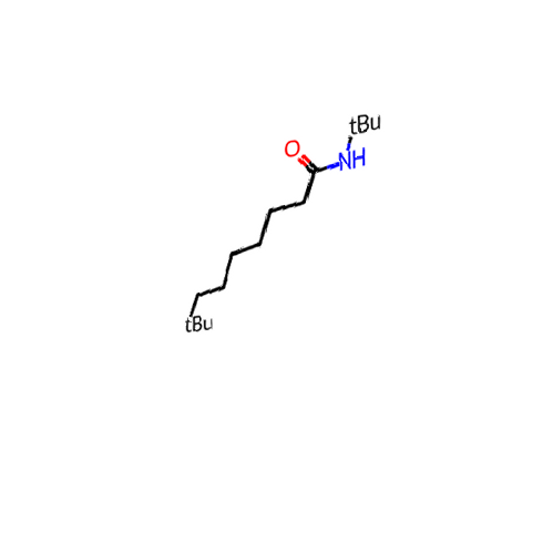 CC(C)(C)CCCCCCC(=O)NC(C)(C)C